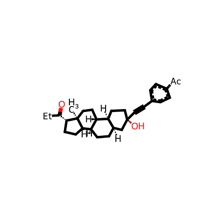 CCC(=O)[C@H]1CC[C@H]2[C@@H]3CC[C@@H]4C[C@@](O)(C#Cc5ccc(C(C)=O)cc5)CC[C@@H]4[C@H]3CC[C@]12C